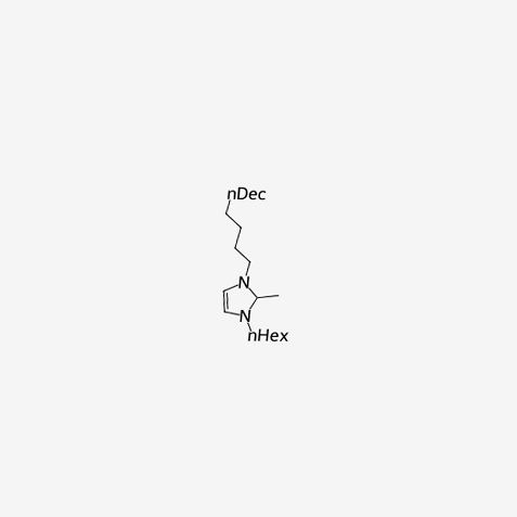 CCCCCCCCCCCCCCN1C=CN(CCCCCC)C1C